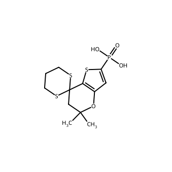 CC1(C)CC2(SCCCS2)c2sc(P(=O)(O)O)cc2O1